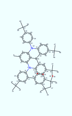 Cc1cc2c3c(c1)N(c1ccc(C(C)(C)C)cc1-c1ccc4c(c1)C(C)(C)CC4(C)C)c1ccc(C(C)(C)C)cc1B3c1cc(C(C)(C)C)ccc1N2c1ccc(C(C)(C)C)cc1